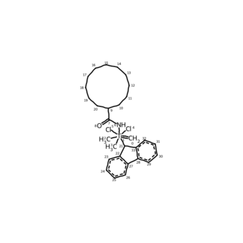 [CH2]=[Ti]([CH3])([CH3])([Cl])([Cl])([NH]C(=O)C1CCCCCCCCCCC1)[CH]1c2ccccc2-c2ccccc21